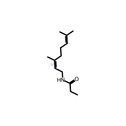 CCC(=O)NC/C=C(/C)CCC=C(C)C